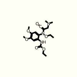 CCOC(=O)Nc1cc(OC)c(OC)cc1N(OCC)C(=C=O)CN(C)C